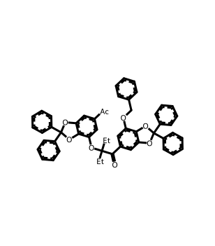 CCC(CC)(Oc1cc(C(C)=O)cc2c1OC(c1ccccc1)(c1ccccc1)O2)C(=O)c1cc(OCc2ccccc2)c2c(c1)OC(c1ccccc1)(c1ccccc1)O2